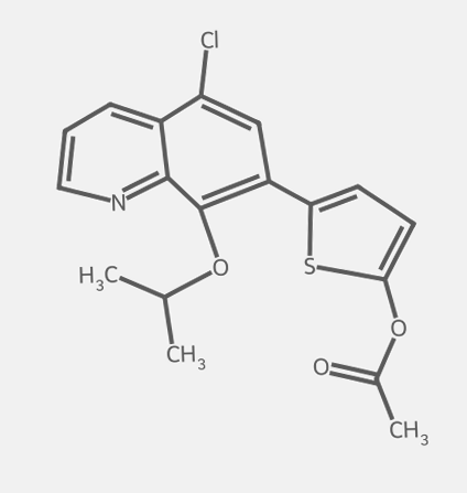 CC(=O)Oc1ccc(-c2cc(Cl)c3cccnc3c2OC(C)C)s1